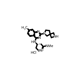 CNC(=O)C[C@H](CC(C)C)Nc1nc(N2CCC3(CNC3)C2)nc2cc(C)ccc12.Cl